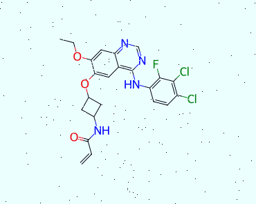 C=CC(=O)NC1CC(Oc2cc3c(Nc4ccc(Cl)c(Cl)c4F)ncnc3cc2OCC)C1